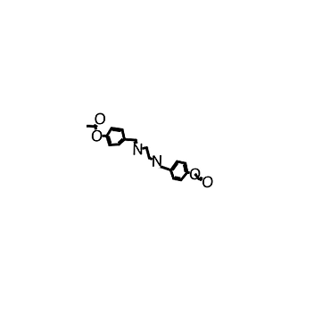 CC(=O)Oc1ccc(/C=N/CC/N=C/c2ccc(OC=O)cc2)cc1